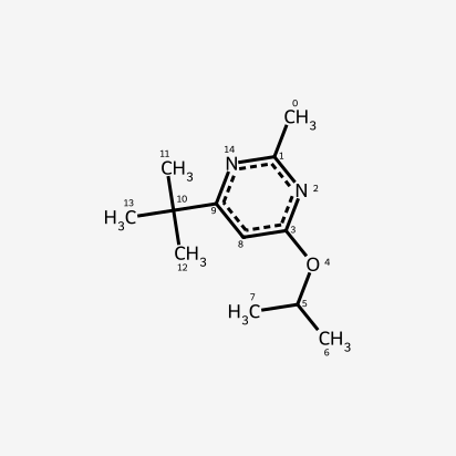 Cc1nc(OC(C)C)cc(C(C)(C)C)n1